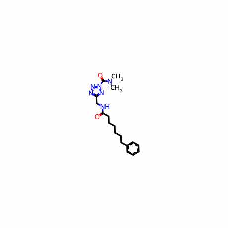 CN(C)C(=O)n1nnc(CNC(=O)CCCCCCc2ccccc2)n1